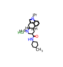 CC1CCC(NC(=O)C2C[C@@H]3c4cccc5c4c(cn5C(C)C)C[C@H]3N(C)C2)CC1.Cl